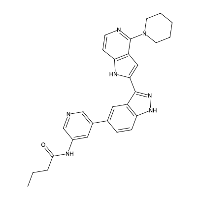 CCCC(=O)Nc1cncc(-c2ccc3[nH]nc(-c4cc5c(N6CCCCC6)nccc5[nH]4)c3c2)c1